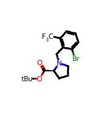 CC(C)(C)OC(=O)[C@@H]1CCCN1Cc1c(Br)cccc1C(F)(F)F